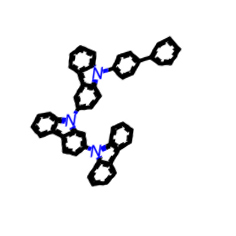 c1ccc(-c2ccc(-n3c4ccccc4c4cc(-n5c6ccccc6c6ccc(-n7c8ccccc8c8ccccc87)cc65)ccc43)cc2)cc1